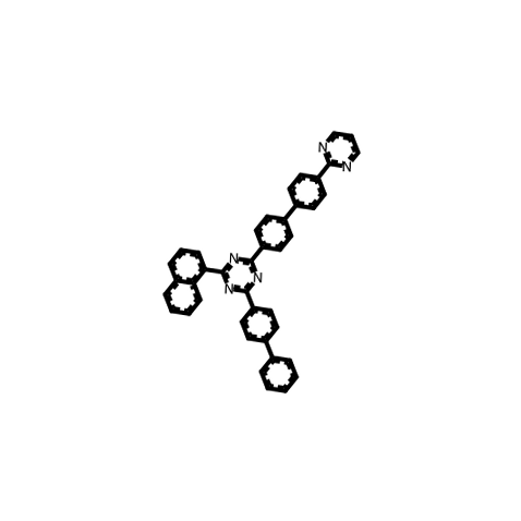 c1ccc(-c2ccc(-c3nc(-c4ccc(-c5ccc(-c6ncccn6)cc5)cc4)nc(-c4cccc5ccccc45)n3)cc2)cc1